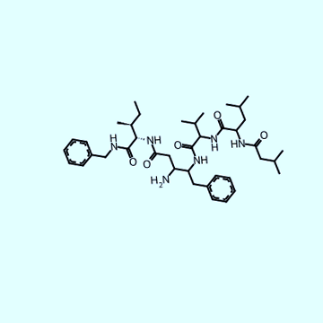 CC[C@H](C)[C@H](NC(=O)CC(N)C(Cc1ccccc1)NC(=O)C(NC(=O)C(CC(C)C)NC(=O)CC(C)C)C(C)C)C(=O)NCc1ccccc1